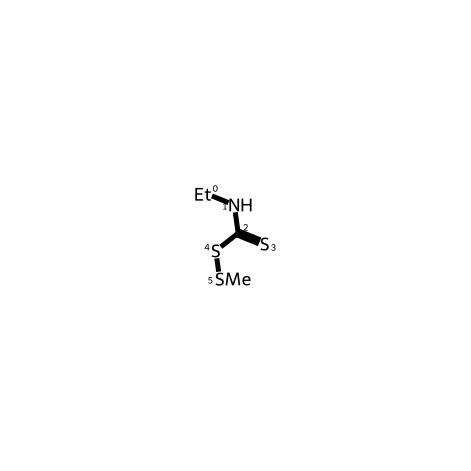 CCNC(=S)SSC